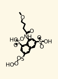 COCCCC(=O)Nc1cc(S(=O)(=O)O)cc2cc(SOOO)cc(S(=O)(=O)O)c12